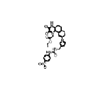 CCOC(=O)Cn1c2c([nH]c(=O)c1=O)CCC1=C2C=C(n2ccc(CNC(=O)Nc3ccc([N+](=O)[O-])cc3)c2)CC1